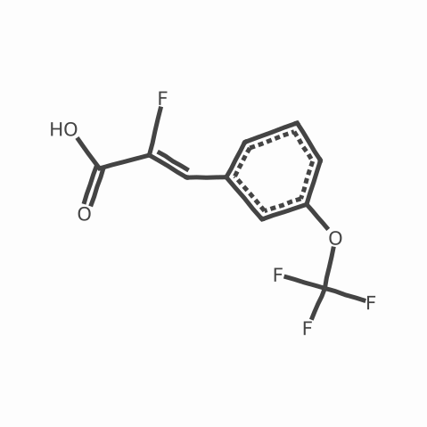 O=C(O)C(F)=Cc1cccc(OC(F)(F)F)c1